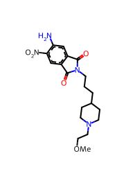 COCCN1CCC(CCCN2C(=O)c3cc(N)c([N+](=O)[O-])cc3C2=O)CC1